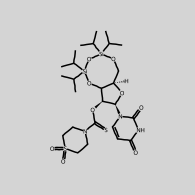 CC(C)[Si]1(C(C)C)OC[C@H]2O[C@@H](n3ccc(=O)[nH]c3=O)[C@@H](OC(=S)N3CCS(=O)(=O)CC3)C2O[Si](C(C)C)(C(C)C)O1